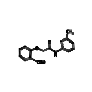 Cc1cccc(NC(=O)COc2ccccc2C=O)c1